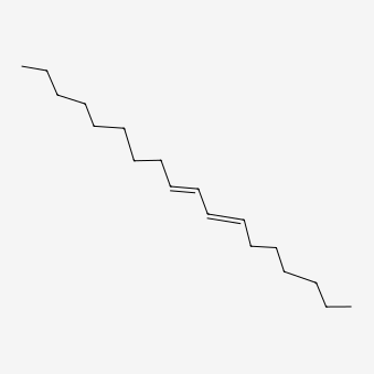 CCCCCCC=CC=CCCCCCCCC